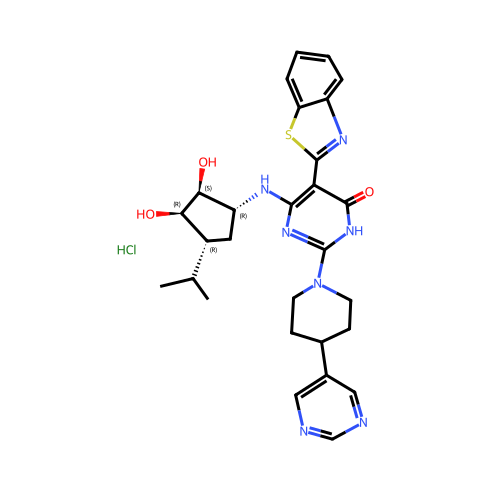 CC(C)[C@H]1C[C@@H](Nc2nc(N3CCC(c4cncnc4)CC3)[nH]c(=O)c2-c2nc3ccccc3s2)[C@H](O)[C@@H]1O.Cl